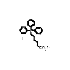 CCOC(=O)CCCCC[P+](c1ccccc1)(c1ccccc1)c1ccccc1.[I-]